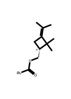 CCC(C)C(=O)OC[C@@H]1CC(=C(C)C)C1(C)C